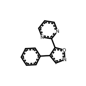 [c]1noc(-c2ncccn2)c1-c1ccccc1